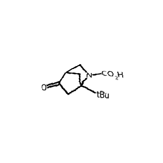 CC(C)(C)C12CC(=O)C(CN1C(=O)O)C2